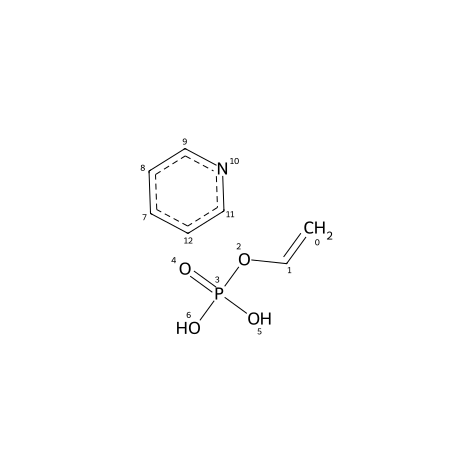 C=COP(=O)(O)O.c1ccncc1